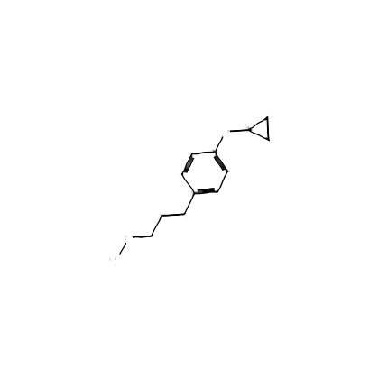 CCCCNCCCc1ccc(OC2CC2)cc1